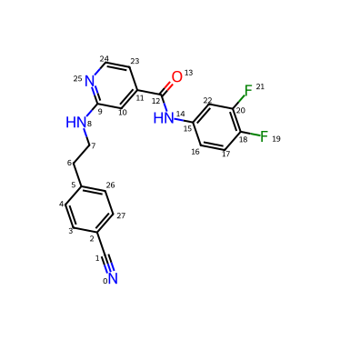 N#Cc1ccc(CCNc2cc(C(=O)Nc3ccc(F)c(F)c3)ccn2)cc1